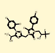 C[C@H](O)c1nc(Cn2c(Cl)c(-c3ccc(Cl)cc3)n(C[C@H](O)C(F)(F)F)c2=O)nn1-c1ccc(Cl)cc1Cl